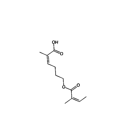 CC=C(C)C(=O)OCCCC=C(C)C(=O)O